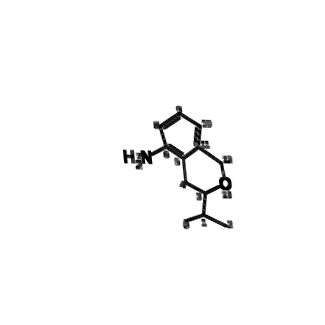 CC(C)C1Cc2c(N)cccc2CO1